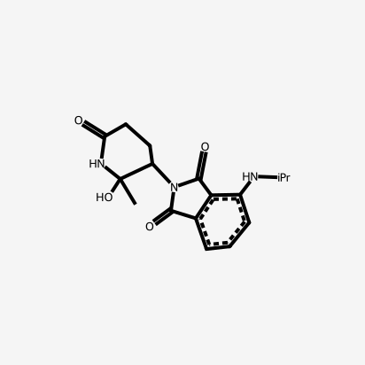 CC(C)Nc1cccc2c1C(=O)N(C1CCC(=O)NC1(C)O)C2=O